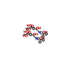 CCCCC(CO)(C(=O)O)c1ccc(C(O)CCCN2CCC(C(O)(c3ccccc3)c3ccccc3)CC2)cc1.CCCCCC(CO)(C(=O)O)c1ccc(C(O)CCCN2CCC(C(O)(c3ccccc3)c3ccccc3)CC2)cc1